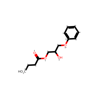 O=C(O)CCC(=O)OCC(O)COc1ccccc1